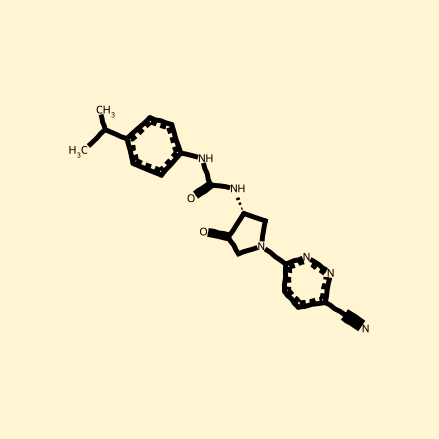 CC(C)c1ccc(NC(=O)N[C@@H]2CN(c3ccc(C#N)nn3)CC2=O)cc1